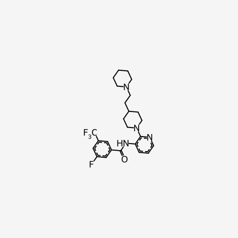 O=C(Nc1cccnc1N1CCC(CCN2CCCCC2)CC1)c1cc(F)cc(C(F)(F)F)c1